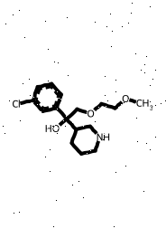 COCCOCC(O)(c1cccc(Cl)c1)C1CCCNC1